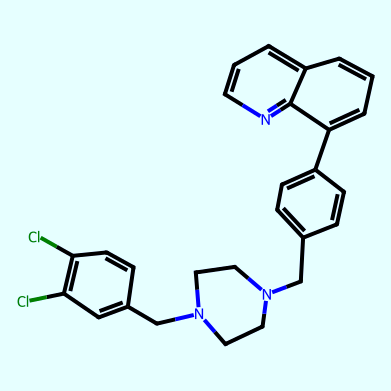 Clc1ccc(CN2CCN(Cc3ccc(-c4cccc5cccnc45)cc3)CC2)cc1Cl